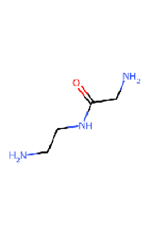 NCCNC(=O)CN